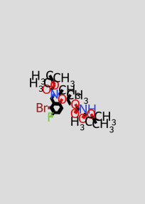 CCN(Cc1c(OC(C)COC(=O)NC(=O)OC(C)(C)C)ccc(F)c1Br)C(=O)OC(C)(C)C